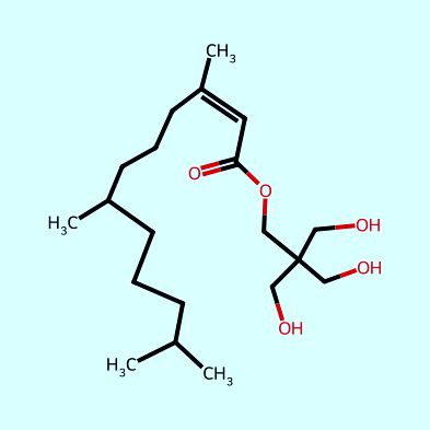 CC(=CC(=O)OCC(CO)(CO)CO)CCCC(C)CCCC(C)C